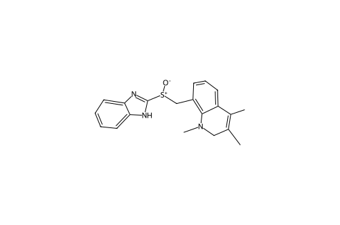 CC1=C(C)c2cccc(C[S+]([O-])c3nc4ccccc4[nH]3)c2N(C)C1